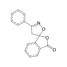 O=C1OC2(CC(c3ccccc3)=NO2)c2ccccc21